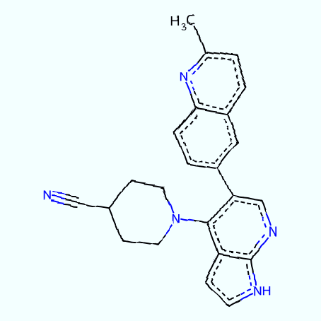 Cc1ccc2cc(-c3cnc4[nH]ccc4c3N3CCC(C#N)CC3)ccc2n1